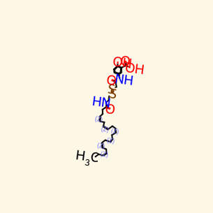 CC/C=C\C/C=C\C/C=C\C/C=C\C/C=C\C/C=C\CCC(=O)NCCSSCC(=O)Nc1ccc(O)c(C(=O)O)c1